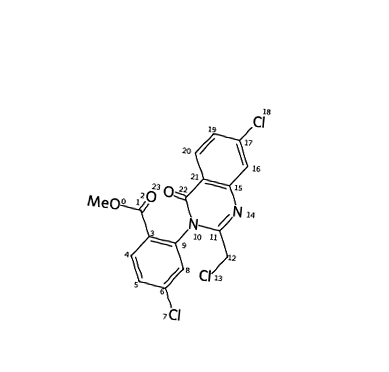 COC(=O)c1ccc(Cl)cc1-n1c(CCl)nc2cc(Cl)ccc2c1=O